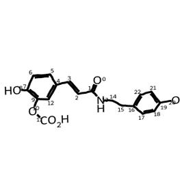 O=C(C=Cc1ccc(O)c(OC(=O)O)c1)NCCc1ccc(O)cc1